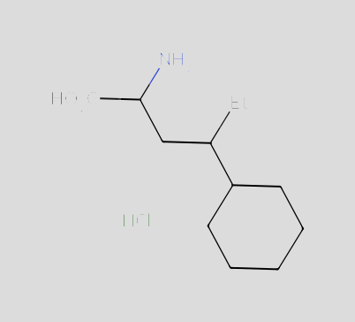 CCC(CC(N)C(=O)O)C1CCCCC1.Cl